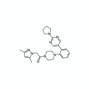 Cc1cc(C)n(CC(=O)N2CCN(c3ccccc3-c3cnc(N4CCCC4)nc3)CC2)n1